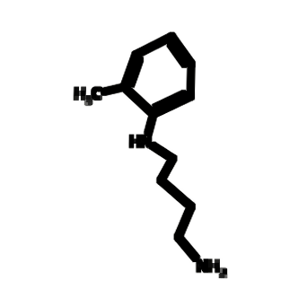 Cc1ccccc1NCCCCN